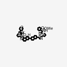 COC(=O)NC(C(=O)N1CCCC1c1ncc(-c2ccc3cc(-c4ccc5c(ccc6nc(C7CCCN7[N+]([O-])(C(=O)O)C(C)C7CCOCC7)[nH]c65)c4)ccc3c2)[nH]1)c1ccccc1